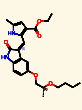 CCCCO[C@H](C)COc1ccc2c(c1)/C(=C/c1[nH]c(C)cc1C(=O)OCC)C(=O)N2